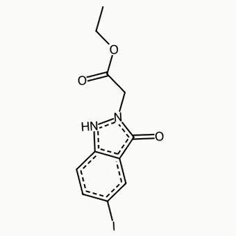 CCOC(=O)Cn1[nH]c2ccc(I)cc2c1=O